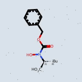 CC[C@@H](C)[C@@H](C(=O)O)N(O)C(=O)OCc1ccccc1